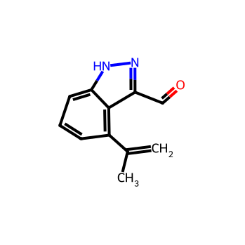 C=C(C)c1cccc2[nH]nc(C=O)c12